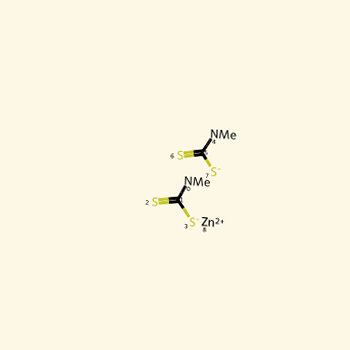 CNC(=S)[S-].CNC(=S)[S-].[Zn+2]